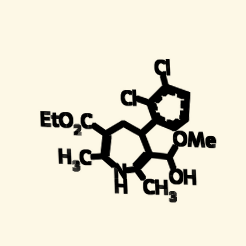 CCOC(=O)C1=C(C)NC(C)=C(C(O)OC)C(c2cccc(Cl)c2Cl)C1